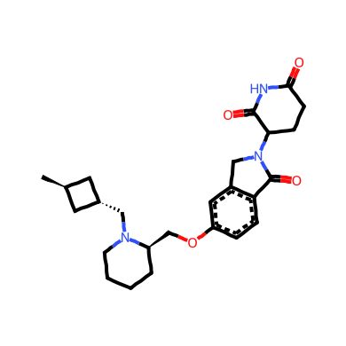 C[C@H]1C[C@H](CN2CCCC[C@@H]2COc2ccc3c(c2)CN(C2CCC(=O)NC2=O)C3=O)C1